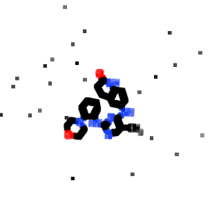 Cc1cnc(Nc2ccccc2N2CCOCC2)nc1Nc1ccc2c(c1)CCC(=O)N2